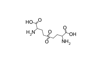 NC(CCS(=O)(=O)CCC(N)C(=O)O)C(=O)O